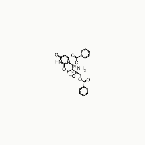 CO[C@](N)(COC(=O)c1ccccc1)[C@@H](F)[C@@H](OC(=O)c1ccccc1)n1ccc(=O)[nH]c1=O